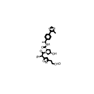 Cc1ncsc1-c1ccc([C@H](C)NC(=O)[C@@H]2C[C@@H](O)CN2C(=O)C(c2cc(CCC=O)no2)C(C)C)cc1